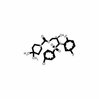 C[C@H](COC(=O)N1CCC(C)(C)CC1)[C@@H](c1cc(F)ccc1F)S(=O)(=O)c1ccc(Cl)cc1